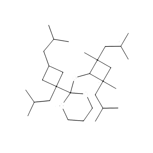 CC(C)CC1CC(CC(C)C)(C2(OC3C(C)(CC(C)C)CC3(C)CC(C)C)OCCCO2)C1